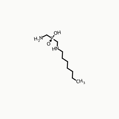 CCCCCCCNCP(=O)(O)CN